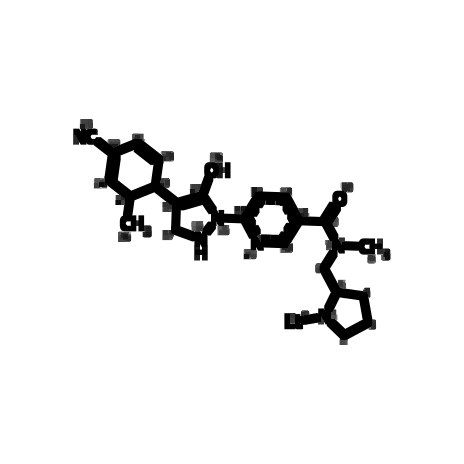 CCN1CCCC1CN(C)C(=O)c1ccc(N2NCC(C3C=CC(C#N)=CC3C)=C2O)nc1